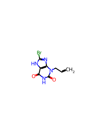 C=CCn1c(=O)[nH]c(=O)c2[nH]c(Br)nc21